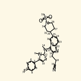 CN1C(c2ccc(F)cc2)=CSC1N(C)c1c(CCC#N)nc2ccc(C3CCN(S(C)(=O)=O)CC3)cn12